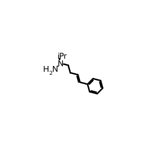 CC(C)N(N)CCC=Cc1ccccc1